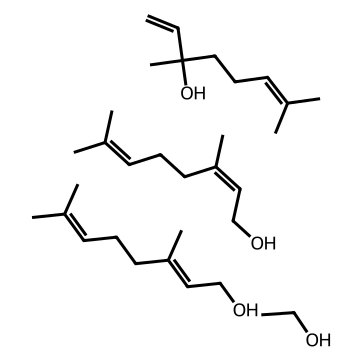 C=CC(C)(O)CCC=C(C)C.CC(C)=CCC/C(C)=C/CO.CC(C)=CCC/C(C)=C\CO.CCO